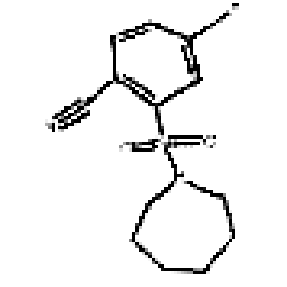 N#Cc1ccc(F)cc1S(=O)(=O)N1CCCCCC1